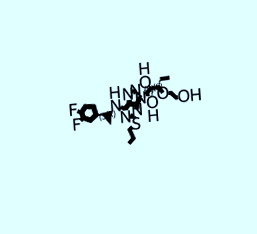 CCCSc1nc(N[C@@H]2C[C@H]2c2ccc(F)c(F)c2)c2nnn([C@H](O)[C@H](O)[C@H](CC)OCCO)c2n1